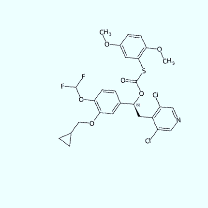 COc1ccc(OC)c(SC(=O)O[C@@H](Cc2c(Cl)cncc2Cl)c2ccc(OC(F)F)c(OCC3CC3)c2)c1